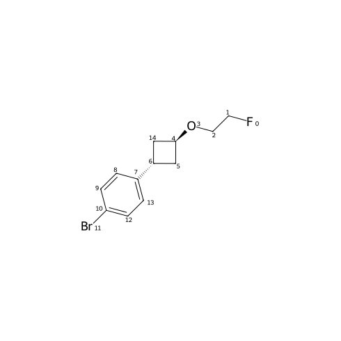 FCCO[C@H]1C[C@H](c2ccc(Br)cc2)C1